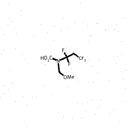 COCN(C(=O)O)C(F)(F)CC(F)(F)F